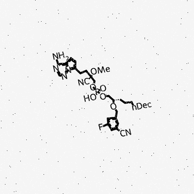 CCCCCCCCCCCCC[C@@H](COP(=O)(O)OC[C@](C#N)(CCc1ccc2c(N)ncnn12)OC)OCc1cc(F)cc(C#N)c1